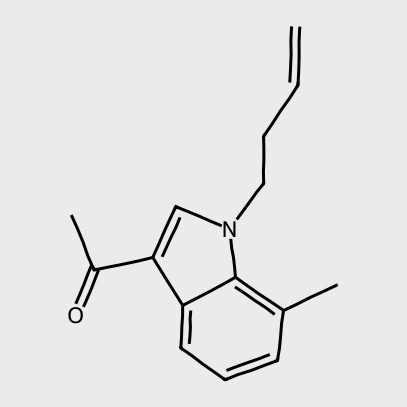 C=CCCn1cc(C(C)=O)c2cccc(C)c21